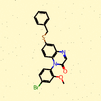 COc1cc(Br)ccc1-n1c(=O)cnc2cc(SCc3ccccc3)ccc21